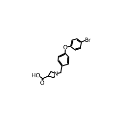 O=C(O)C1CN(Cc2ccc(Oc3ccc(Br)cc3)cc2)C1